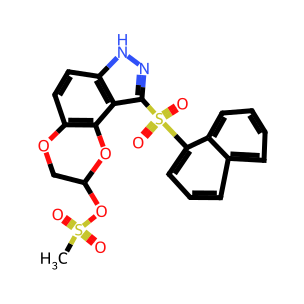 CS(=O)(=O)OC1COc2ccc3[nH]nc(S(=O)(=O)c4cccc5ccccc45)c3c2O1